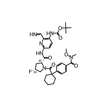 CON(C)C(=O)c1ccc(C2(C(=O)N3C[C@H](F)C[C@@H]3C(=O)Nc3ccc(NC(=O)OC(C)(C)C)c(C=N)n3)CCCCC2)cc1